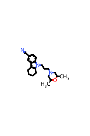 CC1CN(CCCn2c3c(c4cc(C#N)ccc42)CCCC3)CC(C)O1